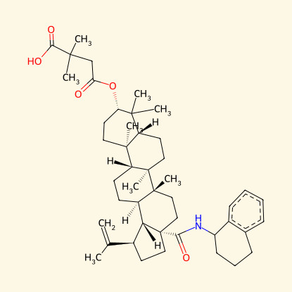 C=C(C)[C@@H]1CC[C@]2(C(=O)NC3CCCc4ccccc43)CC[C@]3(C)[C@H](CC[C@@H]4[C@@]5(C)CC[C@H](OC(=O)CC(C)(C)C(=O)O)C(C)(C)[C@@H]5CC[C@]43C)[C@@H]12